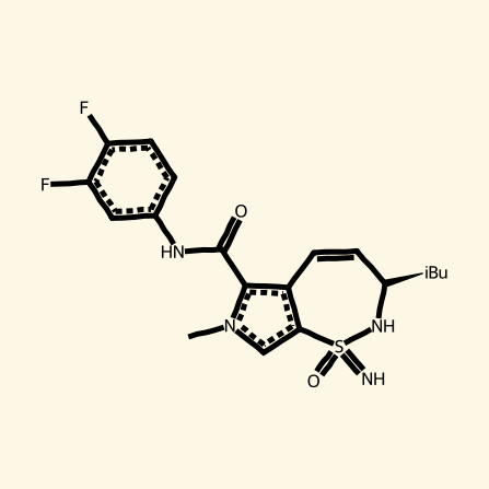 CC[C@H](C)C1C=Cc2c(cn(C)c2C(=O)Nc2ccc(F)c(F)c2)S(=N)(=O)N1